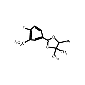 CC(C)C1OB(c2ccc(F)c(C(=O)O)c2)OC1(C)C